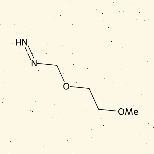 COCCOCN=N